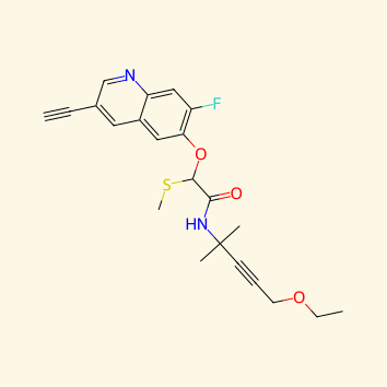 C#Cc1cnc2cc(F)c(OC(SC)C(=O)NC(C)(C)C#CCOCC)cc2c1